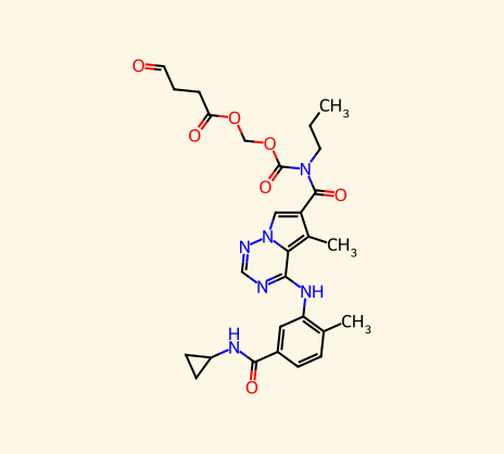 CCCN(C(=O)OCOC(=O)CCC=O)C(=O)c1cn2ncnc(Nc3cc(C(=O)NC4CC4)ccc3C)c2c1C